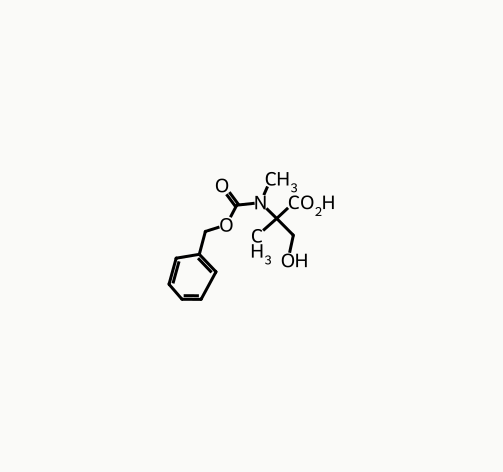 CN(C(=O)OCc1ccccc1)C(C)(CO)C(=O)O